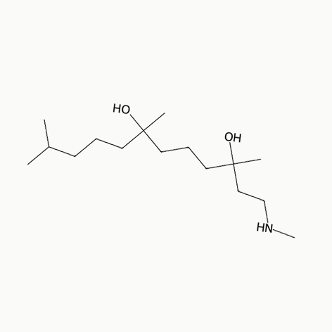 CNCCC(C)(O)CCCC(C)(O)CCCC(C)C